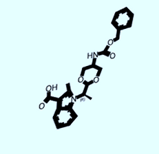 Cc1c(C(=O)O)c2ccccc2n1[C@H](C)C1OCC(NC(=O)OCc2ccccc2)CO1